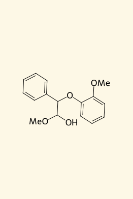 COc1ccccc1OC(c1ccccc1)C(O)OC